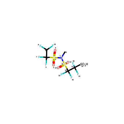 CN(S(=O)(=O)C(F)(F)C(F)F)S(=O)(=O)C(F)(F)C(F)(F)S(=O)(=O)O